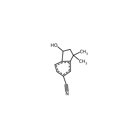 CC1(C)CC(O)c2ccc(C#N)cc21